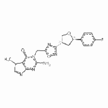 CC1C=Nc2nc(N)n(Cc3nc([C@@H]4CO[C@@H](c5ccc(F)cc5)C4)no3)c(=O)c21